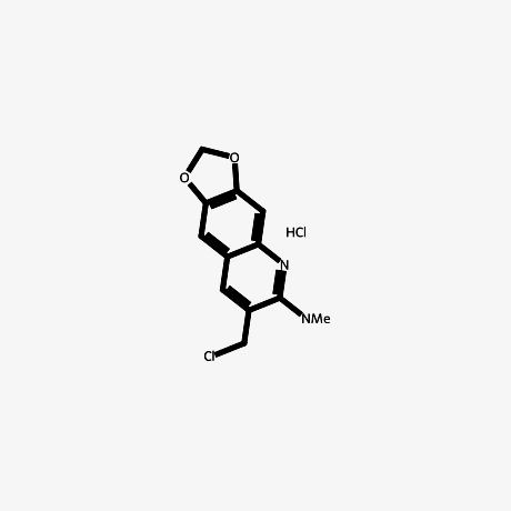 CNc1nc2cc3c(cc2cc1CCl)OCO3.Cl